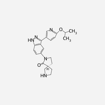 CC(C)Oc1ccc(-c2n[nH]c3ccc(N4CC[C@@]5(CCNC5)C4=O)cc23)cn1